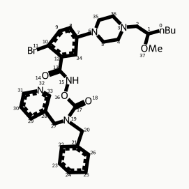 CCCCC(CN1CCN(c2ccc(Br)c(C(=O)NOC(=O)N(Cc3ccccc3)Cc3cccnc3)c2)CC1)OC